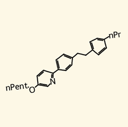 CCCCCOc1ccc(-c2ccc(CCc3ccc(CCC)cc3)cc2)nc1